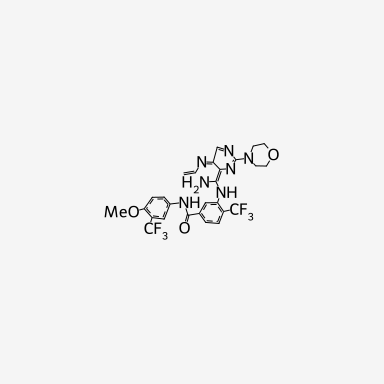 C=C/N=C1/C=NC(N2CCOCC2)=N/C1=C(/N)Nc1cc(C(=O)Nc2ccc(OC)c(C(F)(F)F)c2)ccc1C(F)(F)F